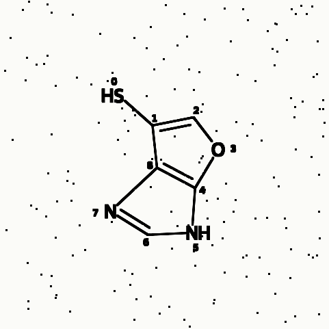 Sc1coc2[nH]cnc12